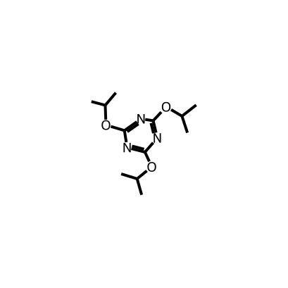 CC(C)Oc1nc(OC(C)C)nc(OC(C)C)n1